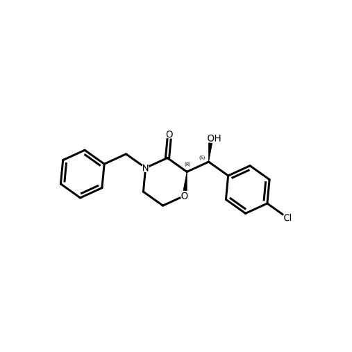 O=C1[C@@H]([C@@H](O)c2ccc(Cl)cc2)OCCN1Cc1ccccc1